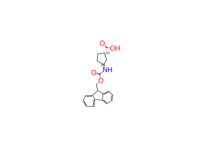 O=C(N[C@@H]1CC[C@H](C(=O)O)C1)OCC1c2ccccc2-c2ccccc21